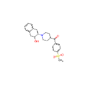 CS(=O)(=O)c1ccc(C(=O)C2CCN(C3Cc4ccccc4CC3O)CC2)cc1